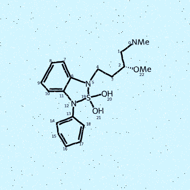 CNC[C@@H](CCN1c2ccccc2N(c2ccccc2)S1(O)O)OC